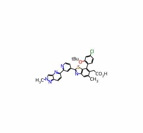 Cc1cc2nc(-c3ccnc(-c4ccc5nn(C)cc5n4)c3)sc2c(-c2ccc(Cl)cc2OC(C)(C)C)c1CC(=O)O